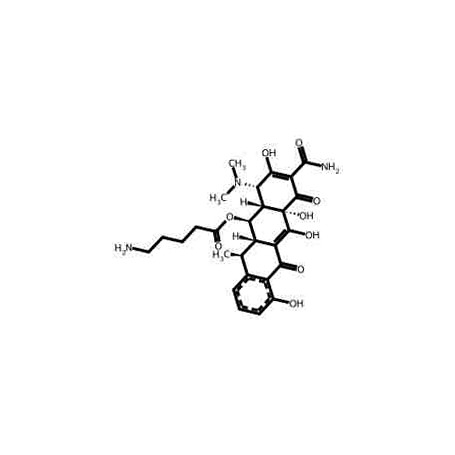 C[C@@H]1c2cccc(O)c2C(=O)C2=C(O)[C@]3(O)C(=O)C(C(N)=O)=C(O)[C@@H](N(C)C)[C@H]3[C@H](OC(=O)CCCCN)[C@H]21